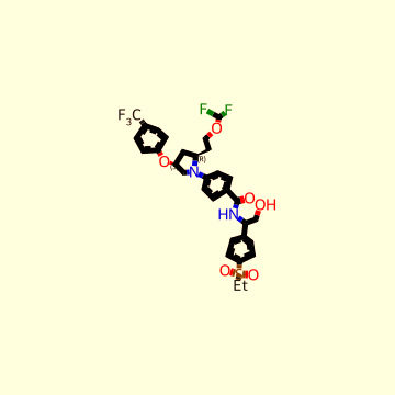 CCS(=O)(=O)c1ccc(C(CO)NC(=O)c2ccc(N3C[C@@H](Oc4ccc(C(F)(F)F)cc4)C[C@H]3CCOC(F)F)cc2)cc1